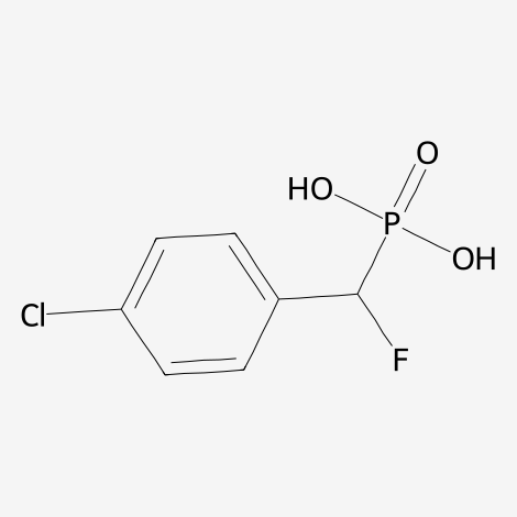 O=P(O)(O)C(F)c1ccc(Cl)cc1